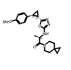 COc1ccc([C@H]2C[C@@H]2c2nnc(N[C@H](C)C(=O)N3CCC4(CC3)CC4)o2)cc1